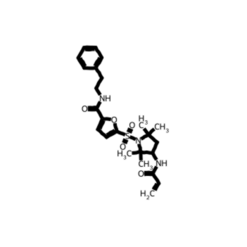 C=CC(=O)NC1CC(C)(C)N(S(=O)(=O)c2ccc(C(=O)NCCc3ccccc3)o2)C1(C)C